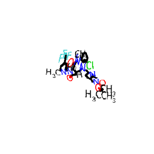 Cc1cc(C(F)(F)F)cc(N2C(=O)C[C@@H]3CN(Cc4ccc5c(n4)CN(C(=O)OC(C)(C)C)C5)c4c(Cl)cccc4N(C)C(=O)[C@H]32)n1